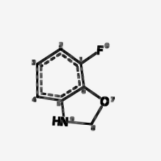 Fc1c[c]cc2c1OCN2